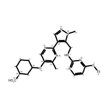 CCOc1ccnc(NCc2c(-c3ncc(OC4CCC[C@H](C(=O)O)C4)c(C)n3)cnn2C)n1